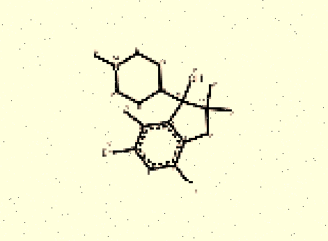 Cc1c(Br)cc(F)c2c1C(O)(C1CCN(C)CC1)C(C)(C)C2